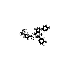 O=C(Nc1nc(-c2ccc(F)c(F)c2)nc2c1cnn2-c1ccc(F)cc1)c1ccc([N+](=O)[O-])s1